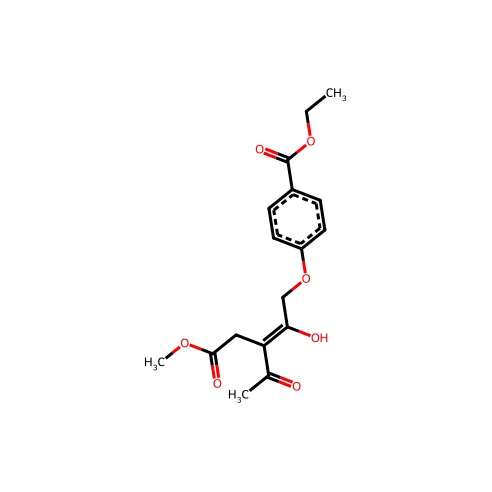 CCOC(=O)c1ccc(OC/C(O)=C(\CC(=O)OC)C(C)=O)cc1